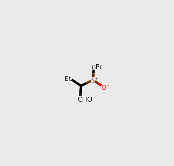 CCC[S+]([O-])C(C=O)CC